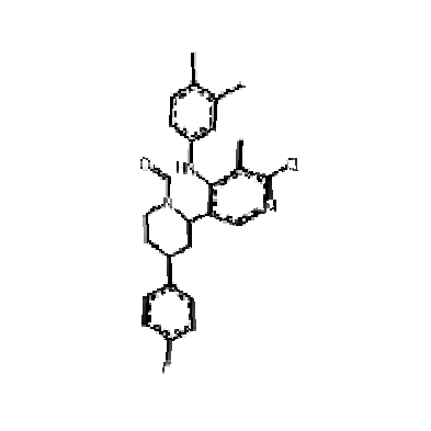 Cc1ccc(Nc2c(C3CC(c4ccc(F)cc4)CCN3C=O)cnc(Cl)c2C)cc1C